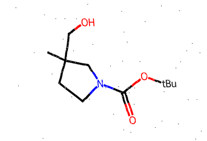 CC1(CO)CCN(C(=O)OC(C)(C)C)C1